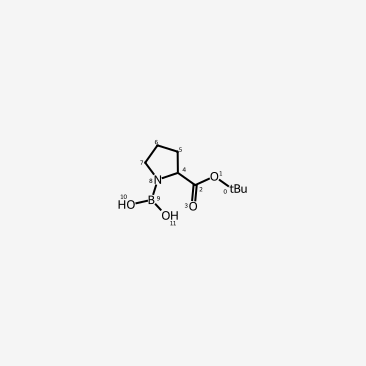 CC(C)(C)OC(=O)C1CCCN1B(O)O